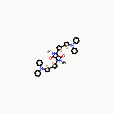 CC(C)N1C(=O)C2=C(c3ccc(-c4ccc(N(c5ccccc5)c5ccccc5)s4)s3)N(C(C)C)C(=O)C2=C1c1ccc(-c2ccc(N(c3ccccc3)c3ccccc3)s2)s1